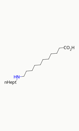 CCCCCCCNCCCCCCCCCCC(=O)O